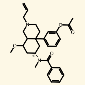 C=CCN1CCC2(c3cccc(OC(C)=O)c3)C[C@H](N(C)C(=O)c3ccccc3)CC(OC)C2C1